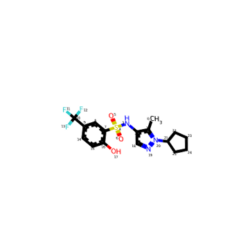 Cc1c(NS(=O)(=O)c2cc(C(F)(F)F)ccc2O)cnn1C1CCCC1